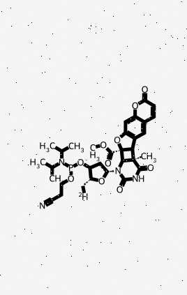 [2H]C[C@H]1O[C@@H](N2C(=O)NC(=O)[C@]3(C)C4c5cc6ccc(=O)oc6cc5O[C@]4(C(=O)OC)C23)CC1OP(OCCC#N)N(C(C)C)C(C)C